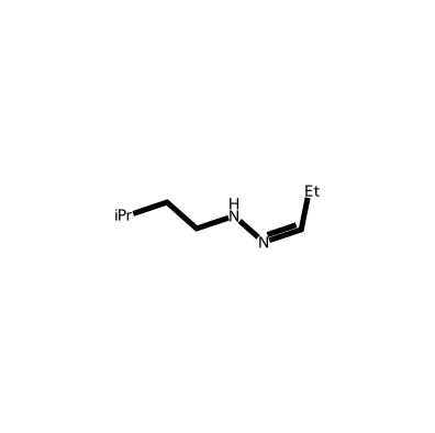 CC/C=N\NCCC(C)C